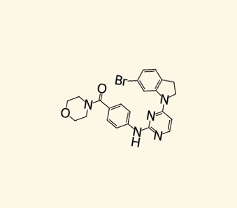 O=C(c1ccc(Nc2nccc(N3CCc4ccc(Br)cc43)n2)cc1)N1CCOCC1